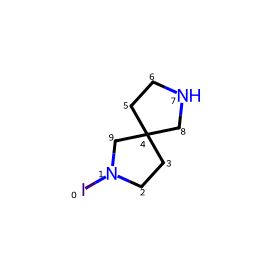 IN1CCC2(CCNC2)C1